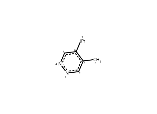 Cc1cnncc1C(C)C